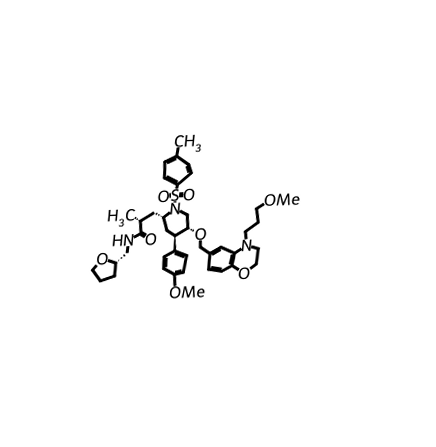 COCCCN1CCOc2ccc(CO[C@H]3CN(S(=O)(=O)c4ccc(C)cc4)[C@@H](C[C@@H](C)C(=O)NC[C@@H]4CCCO4)C[C@@H]3c3ccc(OC)cc3)cc21